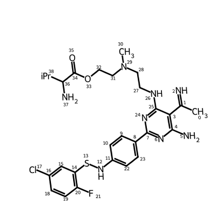 CC(=N)c1c(N)nc(-c2ccc(NSc3cc(Cl)ccc3F)cc2)nc1NCCN(C)CCOC(=O)C(N)C(C)C